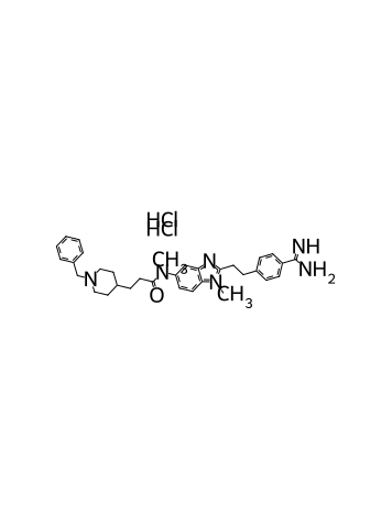 CN(C(=O)CCC1CCN(Cc2ccccc2)CC1)c1ccc2c(c1)nc(CCc1ccc(C(=N)N)cc1)n2C.Cl.Cl